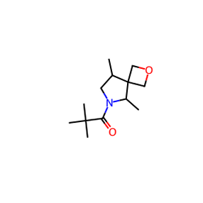 CC1CN(C(=O)C(C)(C)C)C(C)C12COC2